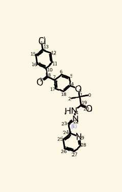 CC(C)(Oc1ccc(C(=O)c2ccc(Cl)cc2)cc1)C(=O)N/N=C/c1ccccn1